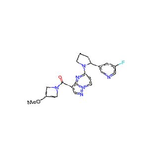 COC1CN(C(=O)c2cnn3ccc(N4CCCC4c4cncc(F)c4)nc23)C1